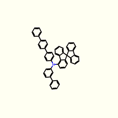 c1ccc(-c2ccc(-c3ccc(N(c4cccc(-c5ccccc5)c4)c4cccc5c4-c4ccccc4C54c5ccccc5-c5ccccc54)cc3)cc2)cc1